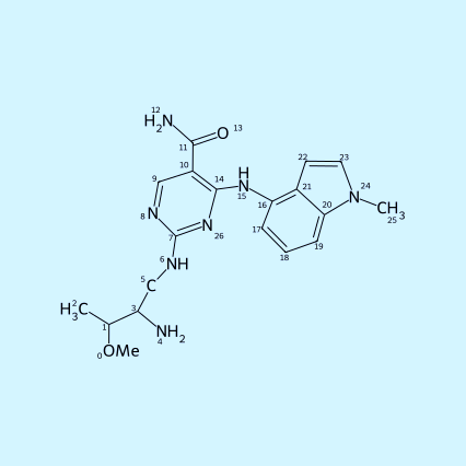 COC(C)C(N)CNc1ncc(C(N)=O)c(Nc2cccc3c2ccn3C)n1